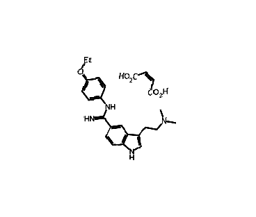 CCOc1ccc(NC(=N)c2ccc3[nH]cc(CCN(C)C)c3c2)cc1.O=C(O)/C=C\C(=O)O